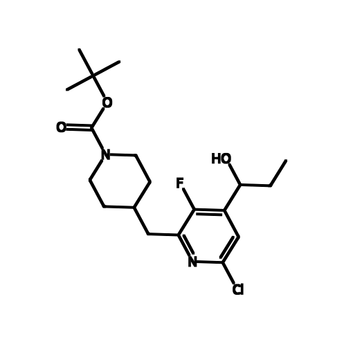 CCC(O)c1cc(Cl)nc(CC2CCN(C(=O)OC(C)(C)C)CC2)c1F